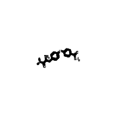 CN(C)C(=O)C(N)Cc1ccc(Oc2ccc(C(N)=O)cc2)cc1